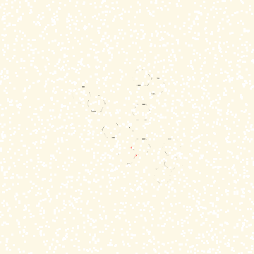 c1ccc(-c2ccc(-c3ccc4ccccc4c3)cc2N(c2ccc(-c3cccc4ccccc34)cc2)c2cccc(-c3cccc4oc5ccccc5c34)c2)cc1